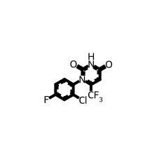 O=c1cc(C(F)(F)F)n(-c2ccc(F)cc2Cl)c(=O)[nH]1